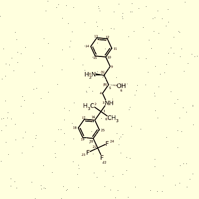 CC(C)(NC[C@@H](O)[C@@H](N)Cc1ccccc1)c1cccc(C(F)(F)F)c1